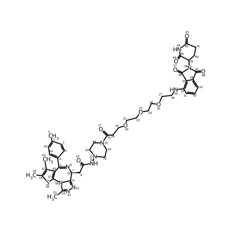 Cc1ccc(C2=N[C@@H](CC(=O)NN3CCN(C(=O)CCOCCOCCOCCNc4cccc5c4C(=O)N(C4CCC(=O)NC4=O)C5=O)CC3)c3nnc(C)n3-c3sc(C)c(C)c32)cc1